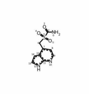 NC(=O)S(=O)(=O)[CH]c1ccnc2[nH]ccc12